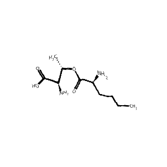 CCCC[C@H](N)C(=O)O[C@@H](C)[C@@H](N)C(=O)O